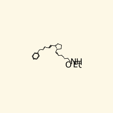 CCNC(=O)CCC/C=C\C1CCCC1/C=C/CCCc1ccccc1